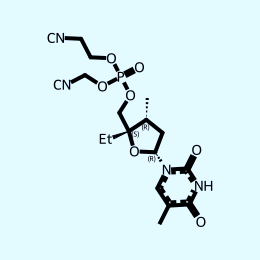 [C-]#[N+]CCOP(=O)(OC[N+]#[C-])OC[C@@]1(CC)O[C@@H](n2cc(C)c(=O)[nH]c2=O)C[C@H]1C